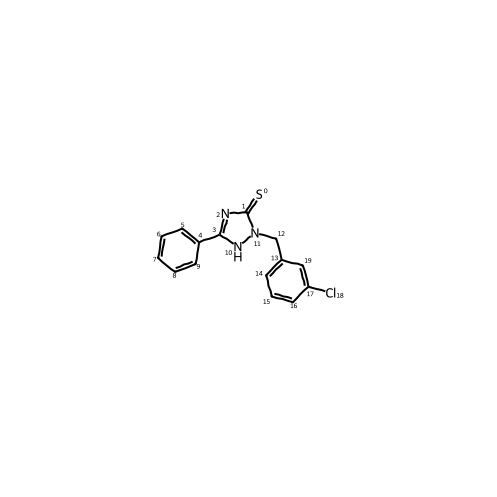 S=c1nc(-c2ccccc2)[nH]n1Cc1cccc(Cl)c1